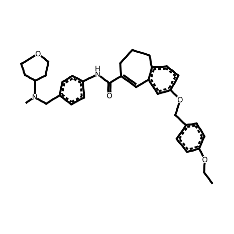 CCOc1ccc(COc2ccc3c(c2)C=C(C(=O)Nc2ccc(CN(C)C4CCOCC4)cc2)CCC3)cc1